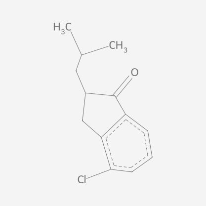 CC(C)CC1Cc2c(Cl)cccc2C1=O